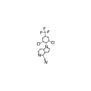 N#Cc1nccc2c1ccn2-c1c(Cl)cc(C(F)(F)F)cc1Cl